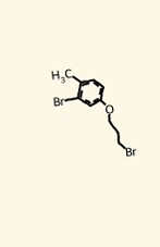 Cc1ccc(OCCCBr)cc1Br